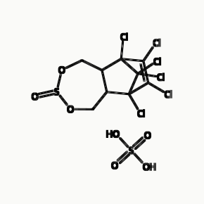 O=S(=O)(O)O.O=S1OCC2C(CO1)C1(Cl)C(Cl)=C(Cl)C2(Cl)C1(Cl)Cl